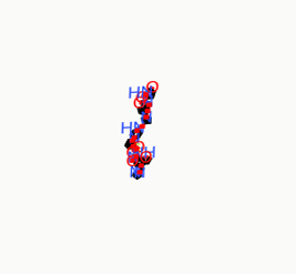 O=C1CC[C@H](N2Cc3cc(N4CC[C@@H](CNC5CCN(c6cccc(S(=O)(=O)Nc7noc8cc(Cn9cccn9)c9c(c78)OCC9)c6)CC5)C4)ccc3C2=O)C(=O)N1